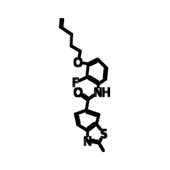 C=CCCCOc1cccc(NC(=O)c2ccc3nc(C)sc3c2)c1F